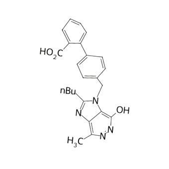 CCCCc1nc2c(C)nnc(O)c2n1Cc1ccc(-c2ccccc2C(=O)O)cc1